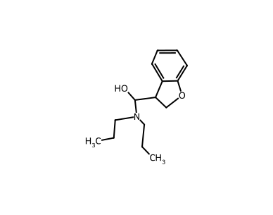 CCCN(CCC)C(O)C1COc2ccccc21